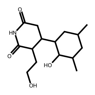 CC1CC(C)C(O)C(C2CC(=O)NC(=O)C2CCO)C1